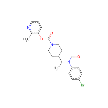 Cc1ncccc1OC(=O)N1CCC(C(C)N(C=O)c2ccc(Br)cc2)CC1